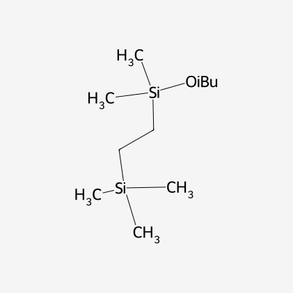 CC(C)CO[Si](C)(C)CC[Si](C)(C)C